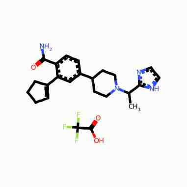 CC(c1ncc[nH]1)N1CCC(c2ccc(C(N)=O)c(C3=CCCC3)c2)CC1.O=C(O)C(F)(F)F